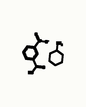 NC1CCCCC1.O=C(O)c1cccc([N+](=O)[O-])c1